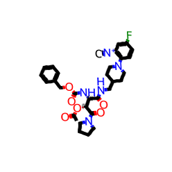 [C-]#[N+]c1cc(F)ccc1N1CCC(CNC(=O)[C@H](NC(=O)OCc2ccccc2)[C@@H](OC(C)=O)C(=O)N2CCCC2)CC1